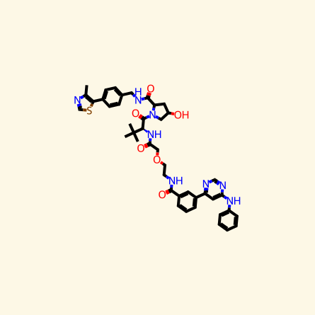 Cc1ncsc1-c1ccc(CNC(=O)C2CC(O)CN2C(=O)[C@@H](NC(=O)COCCNC(=O)c2cccc(-c3cc(Nc4ccccc4)ncn3)c2)C(C)(C)C)cc1